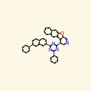 c1ccc(-c2ccc3ccc(-c4nc(-c5ccccc5)nc(-c5cncc6oc7cc8ccccc8cc7c56)n4)cc3c2)cc1